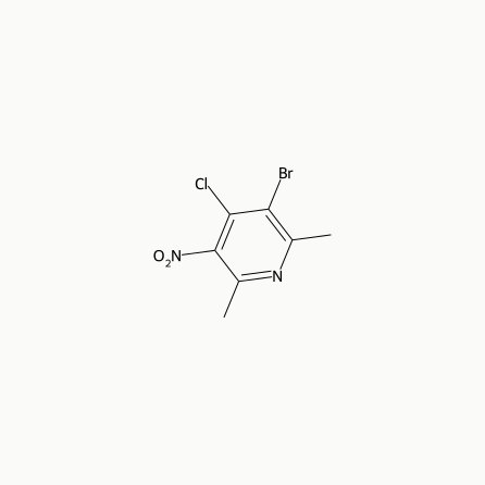 Cc1nc(C)c([N+](=O)[O-])c(Cl)c1Br